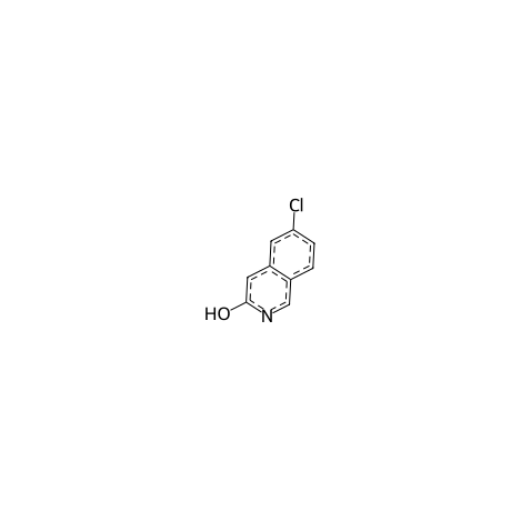 Oc1cc2cc(Cl)ccc2cn1